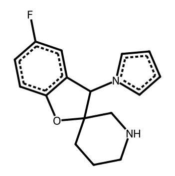 Fc1ccc2c(c1)C(n1cccc1)C1(CCCNC1)O2